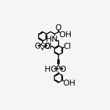 CS(=O)(=O)c1cccc(CC(NCc2c(Cl)cc(C#CP(=O)(O)c3cccc(O)c3)cc2Cl)C(=O)O)c1